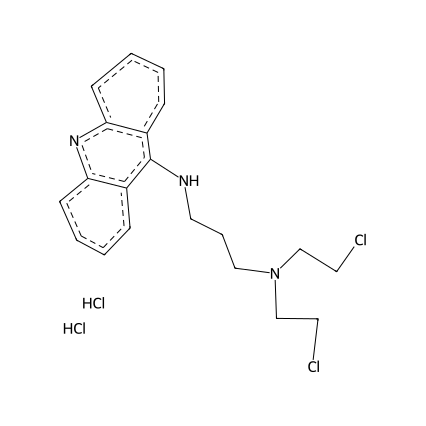 Cl.Cl.ClCCN(CCCl)CCCNc1c2ccccc2nc2ccccc12